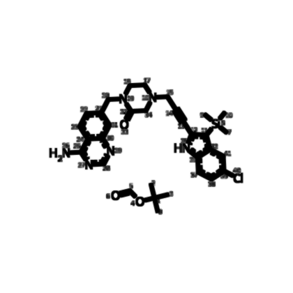 CC(C)(C)OC=O.C[Si](C)(C)c1c(C#CCN2CCN(Cc3ccc4c(N)ncnc4c3)C(=O)C2)[nH]c2ccc(Cl)cc12